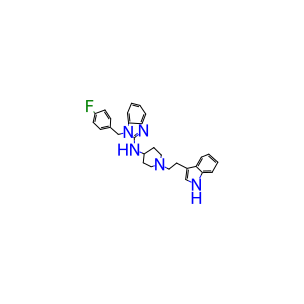 Fc1ccc(Cn2c(NC3CCN(CCc4c[nH]c5ccccc45)CC3)nc3ccccc32)cc1